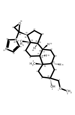 COC[C@@]1(O)CC[C@@]2(C)[C@@H](CC[C@@H]3[C@@H]2CC[C@]2(C)[C@@H](C4(n5ccnc5)CO4)CC[C@@H]32)C1